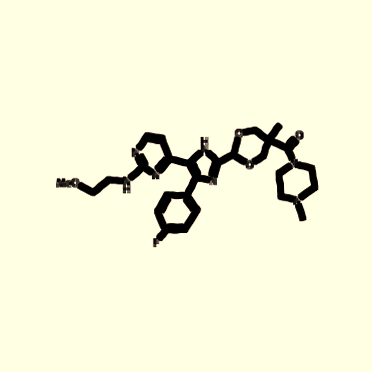 COCCNc1nccc(-c2[nH]c(C3OCC(C)(C(=O)N4CCN(C)CC4)CO3)nc2-c2ccc(F)cc2)n1